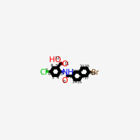 O=C(Nc1ccc(Cl)cc1C(=O)O)c1ccc2cc(Br)ccc2c1